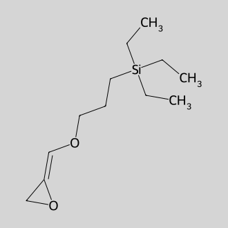 CC[Si](CC)(CC)CCCOC=C1CO1